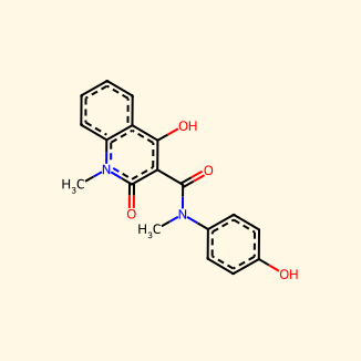 CN(C(=O)c1c(O)c2ccccc2n(C)c1=O)c1ccc(O)cc1